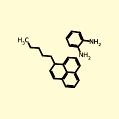 CCCCCC1C=Cc2cccc3cccc1c23.Nc1ccccc1N